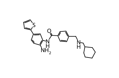 Nc1ccc(-c2cccs2)cc1NC(=O)c1ccc(CNCC2CCCCC2)cc1